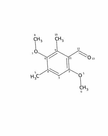 COc1cc(C)c(OC)c(C)c1C=O